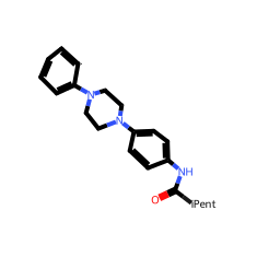 CCCC(C)C(=O)Nc1ccc(N2CCN(c3[c]cccc3)CC2)cc1